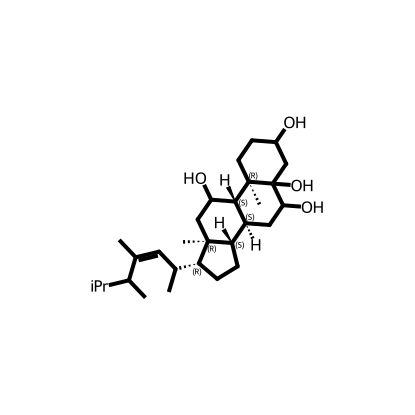 CC(=CC(C)[C@H]1CC[C@H]2[C@@H]3CC(O)C4(O)CC(O)CC[C@]4(C)[C@H]3C(O)C[C@]12C)C(C)C(C)C